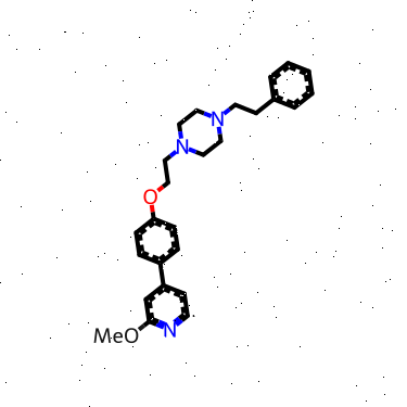 COc1cc(-c2ccc(OCCN3CCN(CCc4ccccc4)CC3)cc2)c[c]n1